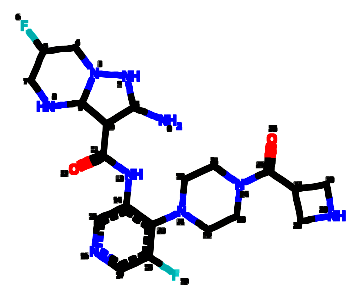 NC1NN2CC(F)CNC2C1C(=O)Nc1cncc(F)c1N1CCN(C(=O)C2CNC2)CC1